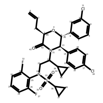 C=CC[C@H]1O[C@H](c2cccc(Cl)c2)[C@@H](c2ccc(Cl)cc2)N(C(CN(c2c(F)cccc2F)S(=O)(=O)C2CC2)C2CC2)C1=O